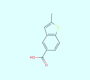 [CH2]c1cc2cc(C(=O)O)ccc2s1